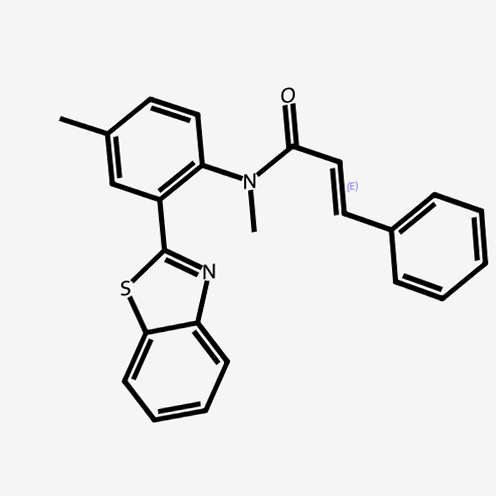 Cc1ccc(N(C)C(=O)/C=C/c2ccccc2)c(-c2nc3ccccc3s2)c1